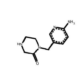 Nc1ccc(CN2CCNCC2=O)cn1